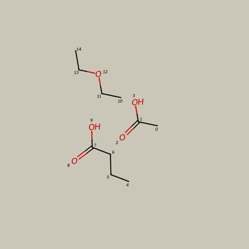 CC(=O)O.CCCC(=O)O.CCOCC